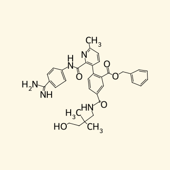 Cc1ccc(-c2ccc(C(=O)NCC(C)(C)CCO)cc2C(=O)OCc2ccccc2)c(C(=O)Nc2ccc(C(=N)N)cc2)n1